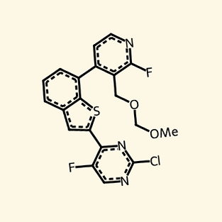 COCOCc1c(-c2cccc3cc(-c4nc(Cl)ncc4F)sc23)ccnc1F